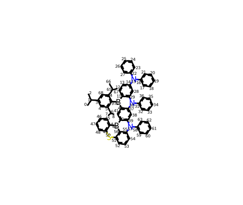 CC(C)c1cc(C(C)C)c(B2c3ccc(N(c4ccccc4)c4ccccc4)cc3N(c3ccccc3)c3cc4c(cc32)B2c3ccccc3Sc3cccc(c32)N4c2ccccc2)c(C(C)C)c1